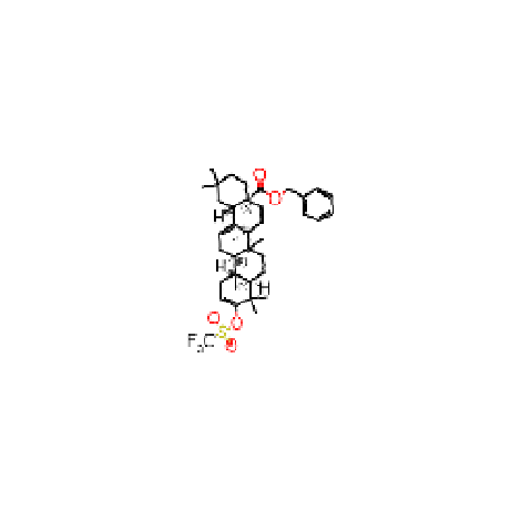 CC1(C)CC[C@]2(C(=O)OCc3ccccc3)CC[C@]3(C)C(=CC[C@@H]4[C@@]5(C)CC=C(OS(=O)(=O)C(F)(F)F)C(C)(C)[C@@H]5CC[C@]43C)[C@@H]2C1